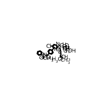 C[Si](C)(C)CCOCn1c(O[C@@H]2CO[C@H]3[C@@H]2OC[C@H]3O)nc2cc(Cl)c(-c3ccc(C(=O)N=[S@@](C)(=O)c4ccccc4)cc3)nc21